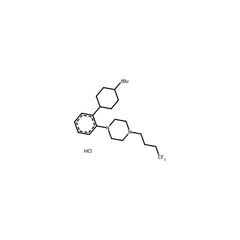 CC(C)(C)C1CCC(c2ccccc2N2CCN(CCCC(F)(F)F)CC2)CC1.Cl